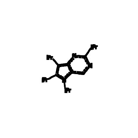 CC(C)c1ncc2c(n1)c(C(C)C)c(C(C)C)n2C(C)C